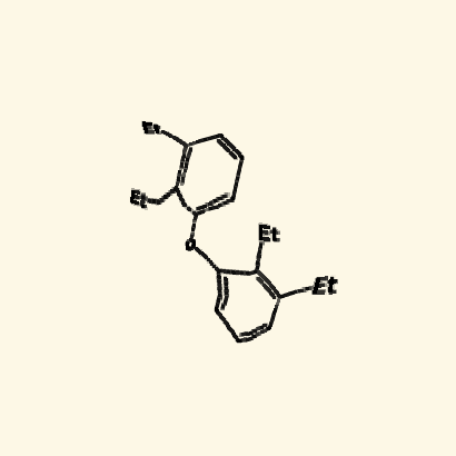 CCc1cccc(Oc2cccc(CC)c2CC)c1CC